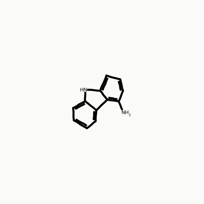 Nc1cccc2[nH]c3ccccc3c12